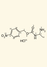 CC(N)NC(=O)OCc1ccc([N+](=O)[O-])cc1.Cl